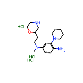 CN(CCC1CNCCO1)c1ccc(N)c(N2CCCCC2)c1.Cl.Cl.Cl